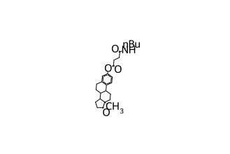 CCCCNC(=O)CCC(=O)Oc1ccc2c(c1)CCC1C2CCC2(C)C(=O)CCC12